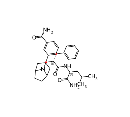 CC(C)C[C@H](NC(=O)[C@@H](Cc1ccccc1)CN1C2CCC1CC(c1cccc(C(N)=O)c1)C2)C(N)=O